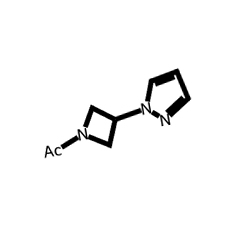 [CH2]C(=O)N1CC(n2cccn2)C1